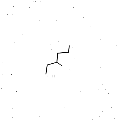 N.O=S(=O)(O)CC(F)CCF